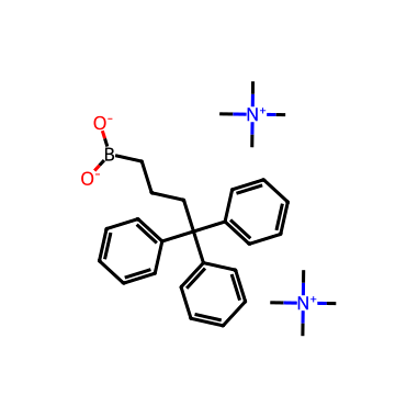 C[N+](C)(C)C.C[N+](C)(C)C.[O-]B([O-])CCCC(c1ccccc1)(c1ccccc1)c1ccccc1